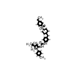 C=Cc1ccc(S(=O)(=O)N2CCC(Cc3ccc(NC(=O)Nc4cc(C(C)(C)C)nn4-c4ccc(C)cc4)cc3)CC2)cc1